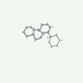 c1ccc2c(c1)ccc1c(N3CCCCC3)cccc12